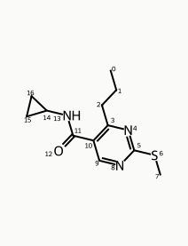 CCCc1nc(SC)ncc1C(=O)NC1CC1